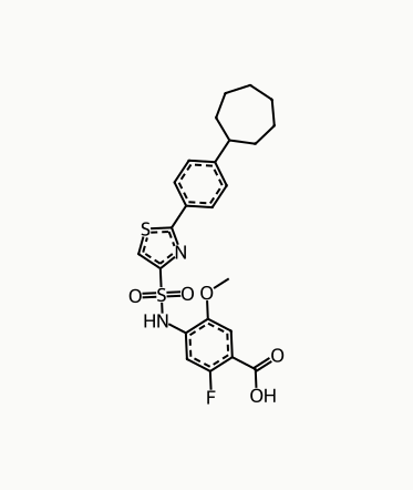 COc1cc(C(=O)O)c(F)cc1NS(=O)(=O)c1csc(-c2ccc(C3CCCCCC3)cc2)n1